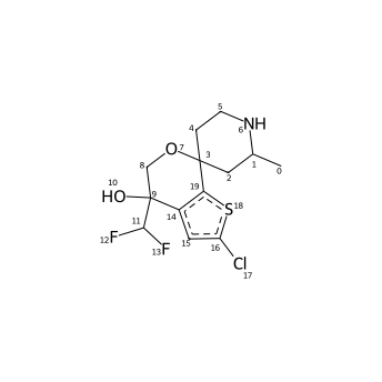 CC1CC2(CCN1)OCC(O)(C(F)F)c1cc(Cl)sc12